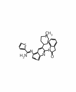 CN1CCC(c2cc3c(N=C(N)c4cccs4)cccc3nc2N2C(=O)Cc3ccccc32)CC1